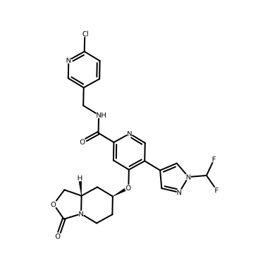 O=C(NCc1ccc(Cl)nc1)c1cc(O[C@H]2CCN3C(=O)OC[C@@H]3C2)c(-c2cnn(C(F)F)c2)cn1